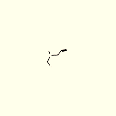 C=CC[SiH](C)CCCC